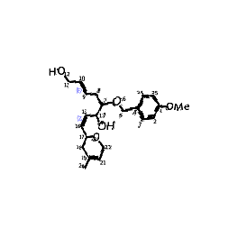 COc1ccc(COC(C/C=C/CO)C(O)/C=C\C2CC(C)=CCO2)cc1